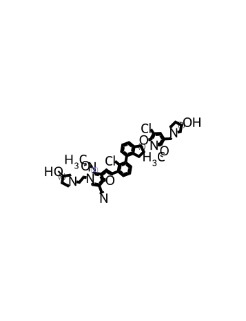 CO/N=c1/c2cc(-c3cccc(-c4cccc5c4CC[C@@H]5Oc4nc(OC)c(CN5CC[C@@H](O)C5)cc4Cl)c3Cl)oc2c(C#N)cn1CCN1CC[C@@H](O)C1